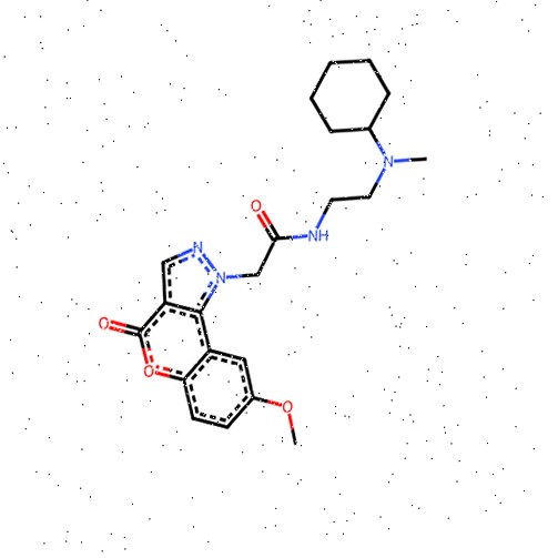 COc1ccc2oc(=O)c3cnn(CC(=O)NCCN(C)C4CCCCC4)c3c2c1